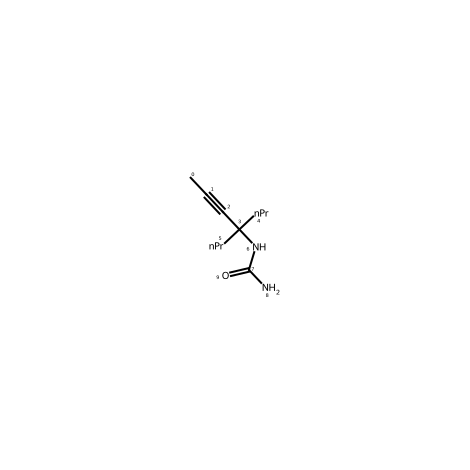 CC#CC(CCC)(CCC)NC(N)=O